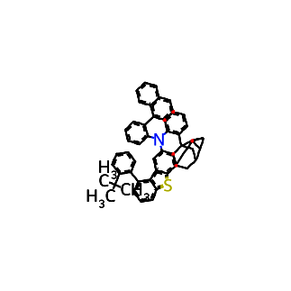 CC(C)(C)c1ccccc1-c1cccc2sc3ccc(N(c4ccccc4-c4cccc5ccccc45)c4ccccc4C45CC6CC(C4)C4C(C6)C45)cc3c12